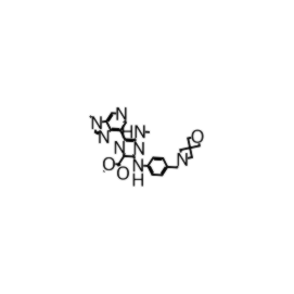 CNc1nc(Nc2ccc(CN3CC4(COC4)C3)cc2)c(C(=O)OC)nc1-c1cncc2c1ncn2C